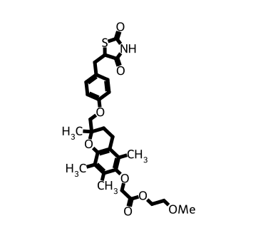 COCCOC(=O)COc1c(C)c(C)c2c(c1C)CCC(C)(COc1ccc(CC3SC(=O)NC3=O)cc1)O2